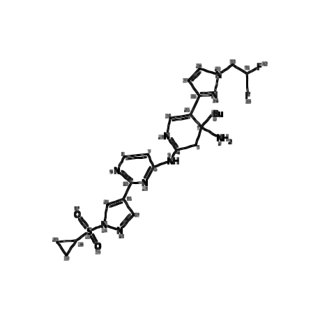 CCC(C)C1(N)CC(Nc2ccnc(-c3cnn(S(=O)(=O)C4CC4)c3)n2)=NC=C1c1ccn(CC(F)F)n1